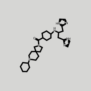 O=C(C1CCC(NC(Cc2ncc[nH]2)Cc2ncc[nH]2)CC1)N1CCC2(CCN(C3CCCCC3)CC2)C1